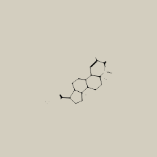 COC(=O)C1CC[C@H]2C3CC[C@H]4N(C)C(=O)C(F)=C[C@]4(C)C3CC[C@]12C